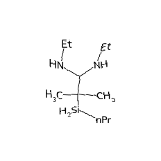 CCC[SiH2]C(C)(C)C(NCC)NCC